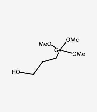 C[O][Ge]([CH2]CCO)([O]C)[O]C